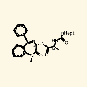 CCCCCCCC(=O)N[C@@H](C)C(=O)N[C@H]1N=C(c2ccccc2)c2ccccc2N(C)C1=O